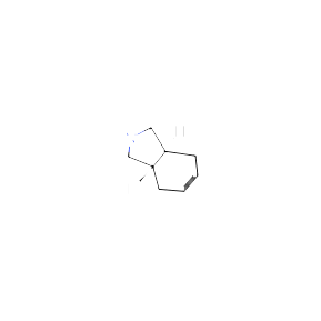 C1=CC[C@@H]2C[N]C[C@H]2C1